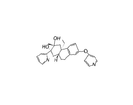 CC[C@@]12C[C@@](C)(O)[C@](O)(c3ccccn3)C[C@H]1CCc1cc(Oc3ccncc3)ccc12